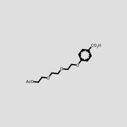 CC(=O)OCCOCCOCCOc1ccc(C(=O)O)cc1